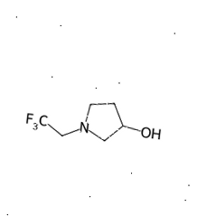 OC1CCN(CC(F)(F)F)C1